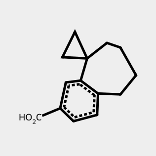 O=C(O)c1ccc2c(c1)C1(CCCC2)CC1